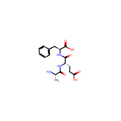 C[C@H](N)C(=O)N[C@@H](CCC(=O)O)C(=O)N[C@@H](Cc1ccccc1)C(=O)O